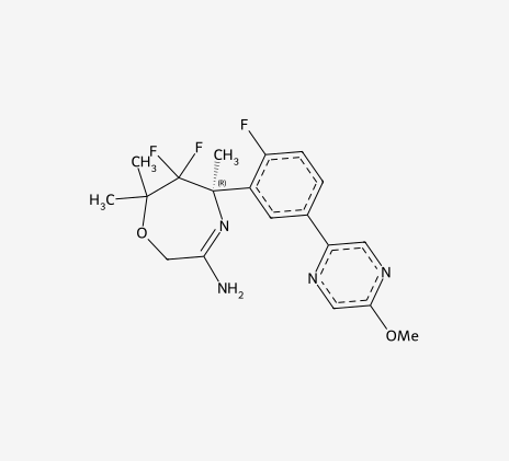 COc1cnc(-c2ccc(F)c([C@@]3(C)N=C(N)COC(C)(C)C3(F)F)c2)cn1